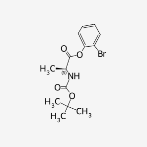 C[C@H](NC(=O)OC(C)(C)C)C(=O)Oc1ccccc1Br